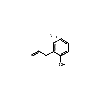 C=CCc1ccccc1O.N